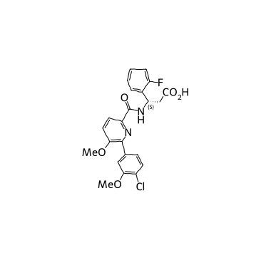 COc1cc(-c2nc(C(=O)N[C@@H](CC(=O)O)c3ccccc3F)ccc2OC)ccc1Cl